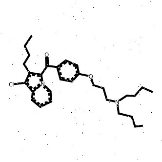 CCCCc1c(Cl)c2ccccn2c1C(=O)c1ccc(OCCCN(CCCC)CCCC)cc1